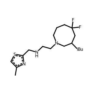 CCC(C)C1CN(CCNCc2nc(C)cs2)CCCC(F)(F)C1